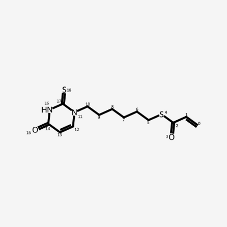 C=CC(=O)SCCCCCCn1ccc(=O)[nH]c1=S